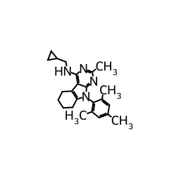 Cc1cc(C)c(-n2c3c(c4c(NCC5CC5)nc(C)nc42)CCCC3)c(C)c1